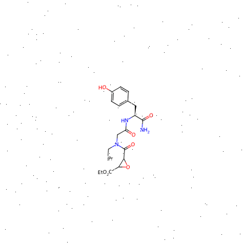 CCOC(=O)C1OC1C(=O)N(CC(=O)N[C@@H](Cc1ccc(O)cc1)C(N)=O)CC(C)C